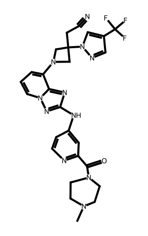 CN1CCN(C(=O)c2cc(Nc3nc4c(N5CC(CC#N)(n6cc(C(F)(F)F)cn6)C5)cccn4n3)ccn2)CC1